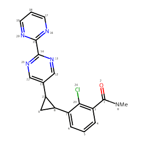 CNC(=O)c1cccc(C2CC2c2cnc(-c3ncccn3)nc2)c1Cl